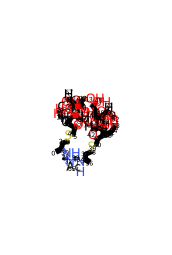 C=C(CCSCC1O[C@@H]2OC3C(CO)O[C@H](OCCCCC1[C@H](O)C2O)C(O)[C@H]3O)NCN(CNC(=C)CCSCC1O[C@@H]2OC3C(CO)O[C@H](OCCCCC1[C@H](O)C2O)C(O)[C@H]3O)C(C)=O